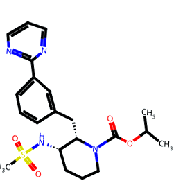 CC(C)OC(=O)N1CCC[C@H](NS(C)(=O)=O)[C@@H]1Cc1cccc(-c2ncccn2)c1